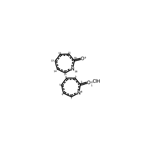 Cl.O=c1cccccn1.O=c1cccccn1